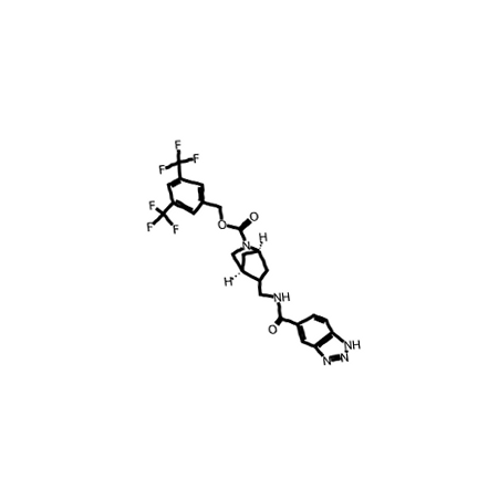 O=C(NCC1C[C@H]2C[C@@H]1CN2C(=O)OCc1cc(C(F)(F)F)cc(C(F)(F)F)c1)c1ccc2[nH]nnc2c1